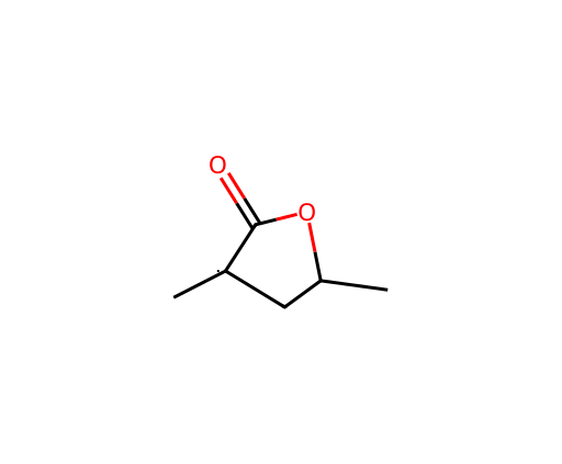 C[C]1CC(C)OC1=O